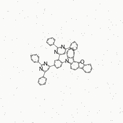 c1ccc(-c2cc(-c3ccc(-n4c5ccccc5c5c6oc7ccccc7c6ccc54)c(-c4cc(-c5ccccc5)nc(-c5ccccc5)n4)c3)nc(-c3ccccc3)n2)cc1